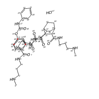 CNCCCNC(=O)C1C2CCC(C(OC(=O)Nc3ccccc3)C2)C1C(=O)NC(=O)C1C2CCC(CC2OC(=O)Nc2ccccc2)C1C(=O)NCCCNC.Cl